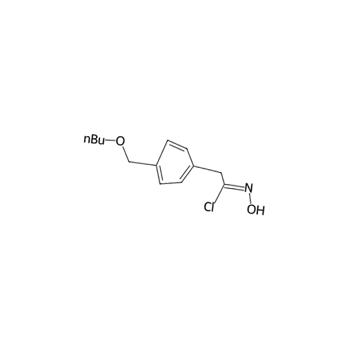 CCCCOCc1ccc(CC(Cl)=NO)cc1